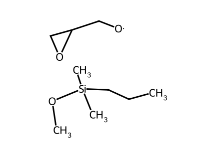 CCC[Si](C)(C)OC.[O]CC1CO1